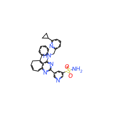 NS(=O)(=O)c1cncc(-c2nc(NCc3cccc(C4CC4)n3)c3c(n2)=CC=CCC=3c2ccccc2)c1